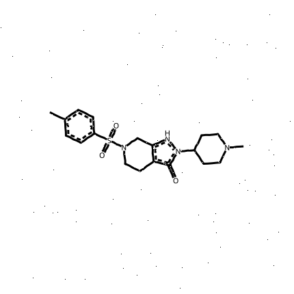 Cc1ccc(S(=O)(=O)N2CCc3c([nH]n(C4CCN(C)CC4)c3=O)C2)cc1